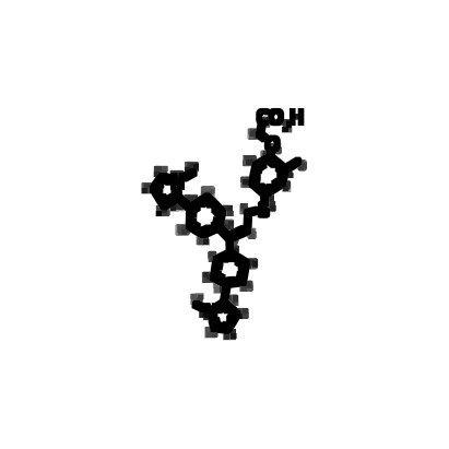 Cc1cc(SCC=C(c2ccc(-c3cccn3C)cc2)c2ccc(-c3cccn3C)cc2)ccc1OCC(=O)O